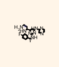 C[C@H](Nc1nc(Nc2cnccn2)cc(C(=N)/C=C\N)n1)c1ccc(F)cc1